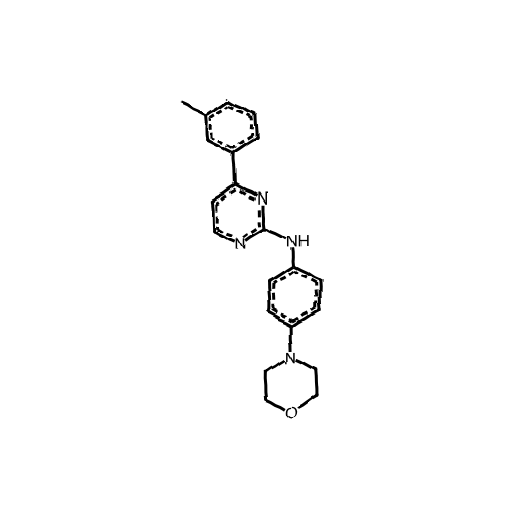 Cc1[c]ccc(-c2ccnc(Nc3ccc(N4CCOCC4)cc3)n2)c1